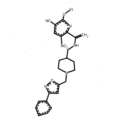 C=C(NCC1CCN(Cc2cc(-c3ccccc3)no2)CC1)c1nc(OCC)c(C#N)cc1[N+](=O)[O-]